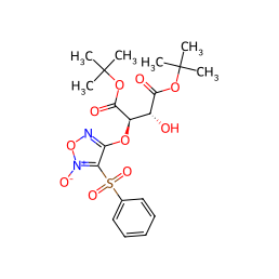 CC(C)(C)OC(=O)[C@H](O)[C@@H](Oc1no[n+]([O-])c1S(=O)(=O)c1ccccc1)C(=O)OC(C)(C)C